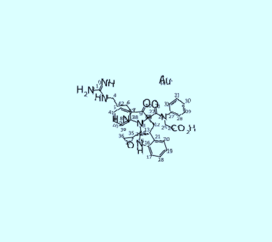 N=C(N)NCCCC(N)C(=O)[C@](Cc1c[nH]c2ccccc12)(C(=O)N(CC(=O)O)c1ccccc1)N(CC1CO1)c1ccccc1.[Au]